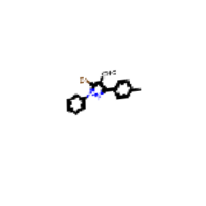 Cc1ccc(-c2nn(-c3ccccc3)c(Br)c2C=O)cc1